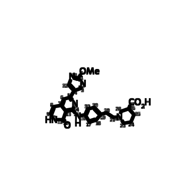 COc1ncc(-c2cc3cc[nH]c(=O)c3c(Nc3ccc(CCN4CCCC(C(=O)O)C4)cc3)n2)cn1